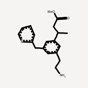 COC(=O)CC(C)c1cc(CCN)cc(Cc2ccccn2)c1